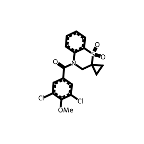 COc1c(Cl)cc(C(=O)N2CC3(CC3)S(=O)(=O)c3ccccc32)cc1Cl